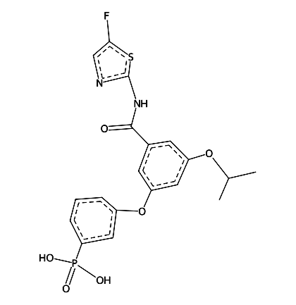 CC(C)Oc1cc(Oc2cccc(P(=O)(O)O)c2)cc(C(=O)Nc2ncc(F)s2)c1